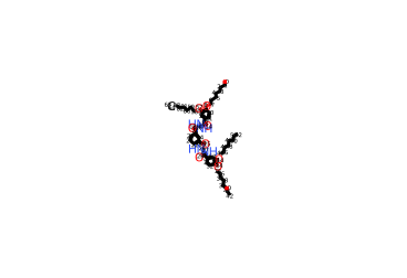 CCCCCCCCOc1ccc(C(=O)NNC(=O)c2cccc(C(=O)NNC(=O)c3ccc(OCCCCCCCC)c(OCCCCCCCC)c3)c2)cc1OCCCCCCCC